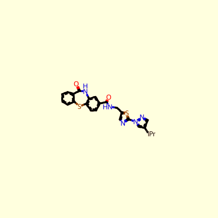 CC(C)c1cnn(-c2ncc(CNC(=O)c3ccc4c(c3)NC(=O)c3ccccc3S4)s2)c1